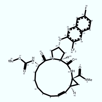 CNC(=O)[C@@]12C[C@H]1/C=C\CCCCC[C@H](NC(=O)OC(C)(C)C)C(=O)N1C[C@H](Oc3nc4cc(F)ccc4nc3C(F)(F)F)C[C@H]1C(=O)N2